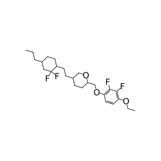 CCCC1CCC(CCC2CCC(COc3ccc(OCC)c(F)c3F)OC2)C(F)(F)C1